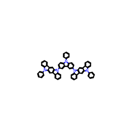 c1ccc(-n2c3ccc(-n4c5ccccc5c5cc6c(cc54)c4ccccc4n6-c4ccccc4)cc3c3cc(-n4c5ccccc5c5cc6c(cc54)c4ccccc4n6-c4ccccc4)ccc32)cc1